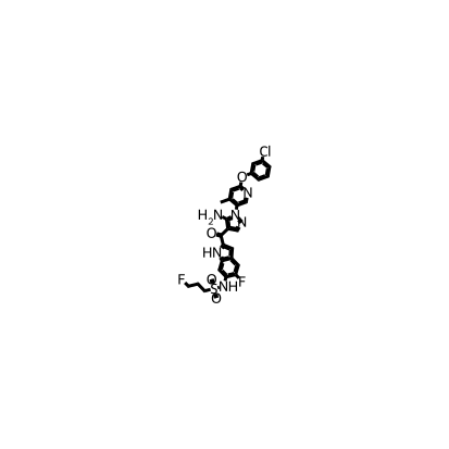 Cc1cc(Oc2cccc(Cl)c2)ncc1-n1ncc(C(=O)c2cc3cc(F)c(NS(=O)(=O)CCCF)cc3[nH]2)c1N